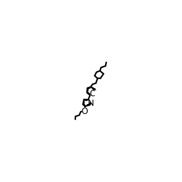 CCCCOc1ccc(-c2ccc(CCC3CCC(CCC)CC3)cc2)nc1